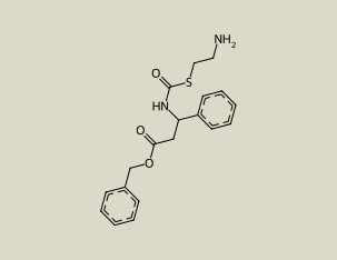 NCCSC(=O)NC(CC(=O)OCc1ccccc1)c1ccccc1